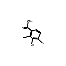 COC(=O)c1ccc(Br)c(S)c1C